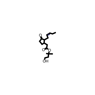 CC/C=C\CC1C(=O)CCC1CC(=O)OC(C)(C)CCO